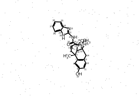 CN1CCC[C@@]2(C)c3cc(O)ccc3C[C@@H]1[C@@H]2N(C)C(=O)Nc1nc2ccccc2[nH]1